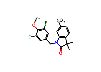 CC(C)Oc1c(F)cc(CN2C(=O)C(C)(C)c3ccc([N+](=O)[O-])cc32)cc1F